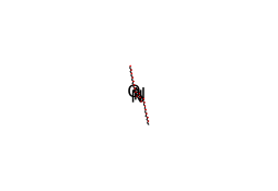 CCCCCCCCCCCCCOc1cnc(-c2ccc(CCCCCCCCCCCCC)cc2)nc1